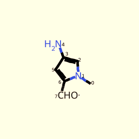 Cn1cc(N)cc1[C]=O